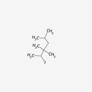 CC(C)CC(C)(C)C(C)I